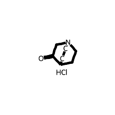 Cl.O=C1CN2CCC1CC2